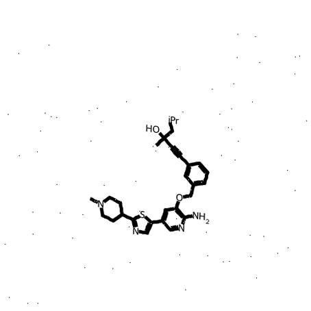 CC(C)CC(C)(O)C#Cc1cccc(COc2cc(-c3cnc(C4CCN(C)CC4)s3)cnc2N)c1